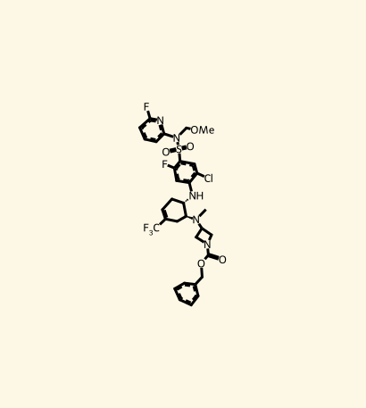 COCN(c1cccc(F)n1)S(=O)(=O)c1cc(Cl)c(N[C@H]2CC=C(C(F)(F)F)C[C@@H]2N(C)C2CN(C(=O)OCc3ccccc3)C2)cc1F